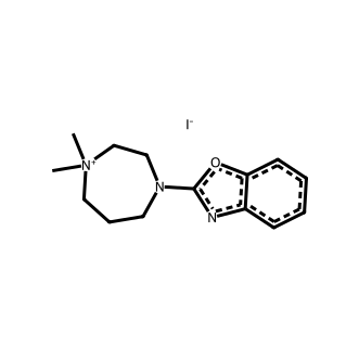 C[N+]1(C)CCCN(c2nc3ccccc3o2)CC1.[I-]